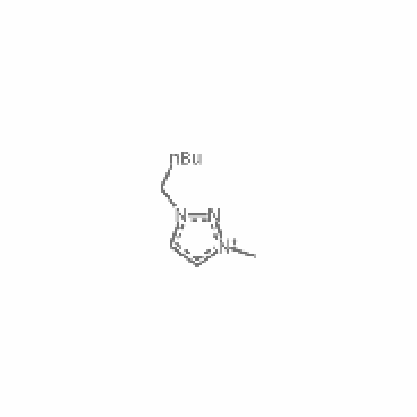 CCCCCn1cc[n+](C)n1